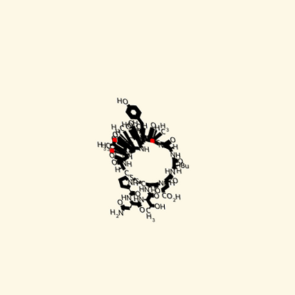 CC[C@H](C)[C@@H]1NC(=O)[C@H](CCC(=O)O)NC(=O)[C@@H](NC(=O)[C@@H](NC(=O)[C@H](CC(N)=O)NC(=O)[C@@H]2CCCN2)[C@@H](C)O)CSSC[C@@H]2NC(=O)[C@H](C)NC(=O)[C@H](C)NC(=O)[C@H](Cc3ccc(O)cc3)NC(=O)[C@H](C)NC(=O)[C@H](CSSC[C@@H](C(=O)O)NC(=O)CNC(=O)[C@H]([C@@H](C)O)NC2=O)NC1=O